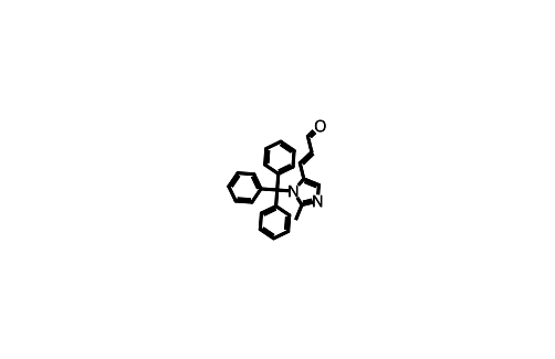 Cc1ncc(C=CC=O)n1C(c1ccccc1)(c1ccccc1)c1ccccc1